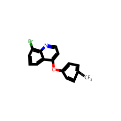 FC(F)(F)c1ccc(Oc2ccnc3c(Br)cccc23)cc1